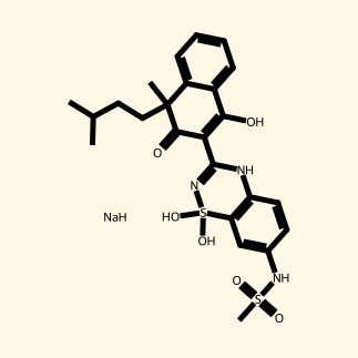 CC(C)CCC1(C)C(=O)C(C2=NS(O)(O)c3cc(NS(C)(=O)=O)ccc3N2)=C(O)c2ccccc21.[NaH]